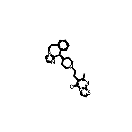 Cc1nc2sccn2c(=O)c1CCN1CCC(=C2c3ccccc3CCn3ccnc32)CC1